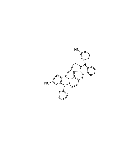 N#Cc1cccc(N(c2ccccc2)C2CC=C3C=CC4c5c(ccc2c53)C=CC4N(c2ccccc2)c2cccc(C#N)c2)c1